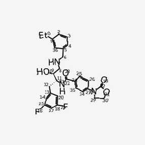 CCc1cccc(CNC[C@H](O)[C@@H](Cc2cc(F)cc(F)c2)NC(=O)c2ccc(N3CCOC3=O)cc2)c1